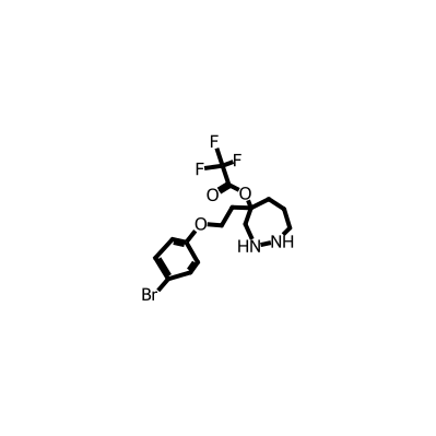 O=C(OC1(CCOc2ccc(Br)cc2)CCCNNC1)C(F)(F)F